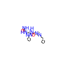 NC(=O)CNc1cc(NC(=O)CN2CCN(C/C=C/c3ccccc3)CC2)nc(-c2ccccc2)n1